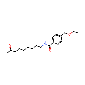 CCOCc1ccc(C(=O)NCCCCCCCC(C)=O)cc1